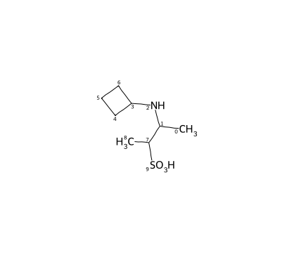 CC(NC1CCC1)C(C)S(=O)(=O)O